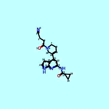 N#CCCC(=O)N1CCC=C(c2cc(NC(=O)C3CC3)nc3[nH]ccc23)C1